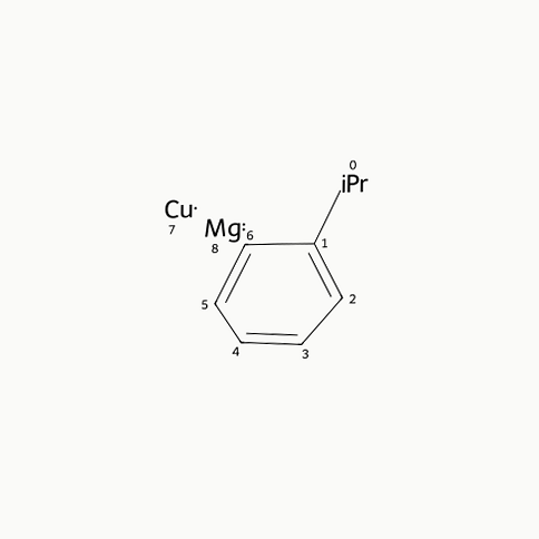 CC(C)c1ccccc1.[Cu].[Mg]